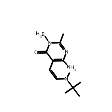 Bn1c(C)nc(N)c(/C=C\N(C)C(C)(C)C)c1=O